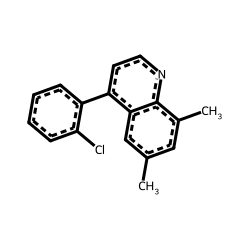 Cc1cc(C)c2nccc(-c3ccccc3Cl)c2c1